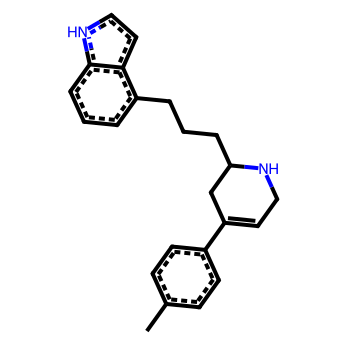 Cc1ccc(C2=CCNC(CCCc3cccc4[nH]ccc34)C2)cc1